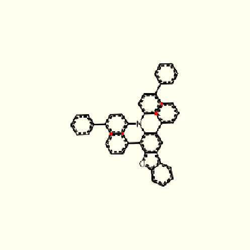 c1ccc(-c2ccc(N(c3ccc(-c4ccccc4)cc3)c3c(-c4ccccc4)cc4c(oc5ccccc54)c3-c3ccccc3)cc2)cc1